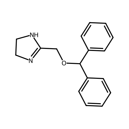 c1ccc(C(OCC2=NCCN2)c2ccccc2)cc1